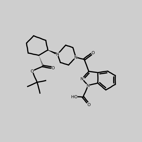 CC(C)(C)OC(=O)[C@@H]1CCCC[C@H]1N1CCN(C(=O)c2nn(C(=O)O)c3ccccc23)CC1